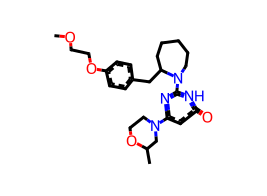 COCCOc1ccc(CC2CCCCCN2c2nc(N3CCOC(C)C3)cc(=O)[nH]2)cc1